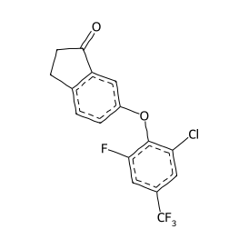 O=C1CCc2ccc(Oc3c(F)cc(C(F)(F)F)cc3Cl)cc21